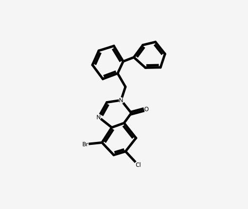 O=c1c2cc(Cl)cc(Br)c2ncn1Cc1ccccc1-c1ccccc1